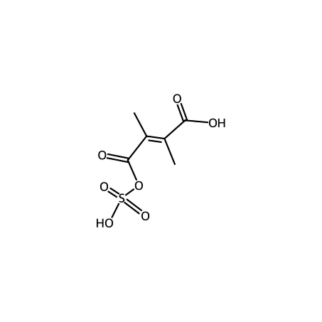 C/C(C(=O)O)=C(/C)C(=O)OS(=O)(=O)O